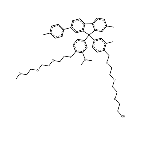 COCCOCCOCCOc1ccc(C2(c3ccc(COCCOCCOCCO)c(C)c3)c3cc(C)ccc3-c3ccc(-c4ccc(C)cc4)cc32)cc1N(C)C